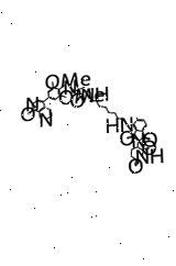 COc1cc(-c2cn(C)c(=O)c3cnccc23)cc(OC)c1CN1CC(C)(C(=O)NCCCCCCCCNc2cccc3c2C(=O)N(C2CCC(=O)NC2=O)C3=O)C1